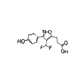 O=C(O)CCc1onc(-c2ccc(O)cc2)c1C(F)F